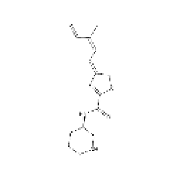 C=C/C(C)=C\C=C1\C=C(C(=O)N[C@@H]2CCCNC2)SC1